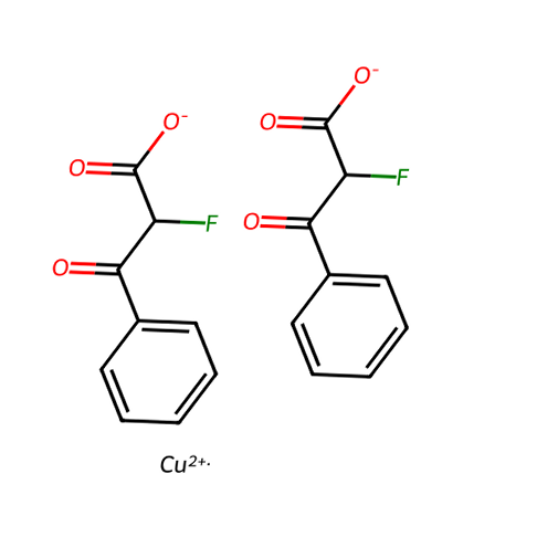 O=C([O-])C(F)C(=O)c1ccccc1.O=C([O-])C(F)C(=O)c1ccccc1.[Cu+2]